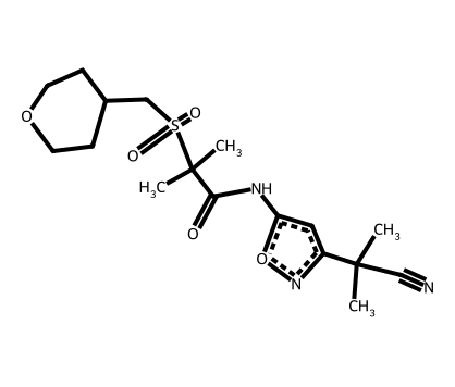 CC(C)(C#N)c1cc(NC(=O)C(C)(C)S(=O)(=O)CC2CCOCC2)on1